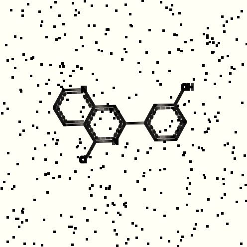 Oc1cccc(-c2cc3ncccc3c(Cl)n2)c1